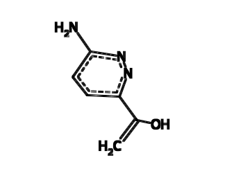 C=C(O)c1ccc(N)nn1